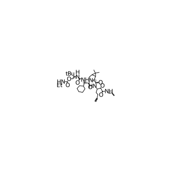 C#CCCC(NC(=O)[C@@H]1C2C(CN1C(=O)[C@@H](NC(=O)N[C@H](COC(=O)NCC)C(C)(C)C)C1CCCCC1)C2(C)C)C(=O)C(=O)NCC=C